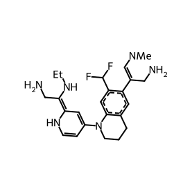 CCN/C(CN)=C1\C=C(N2CCCc3cc(/C(=C/NC)CN)c(C(F)F)cc32)C=CN1